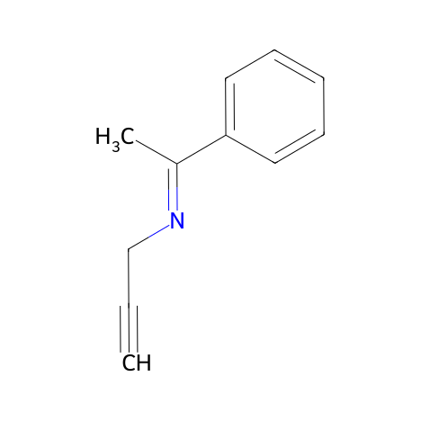 C#CCN=C(C)c1ccccc1